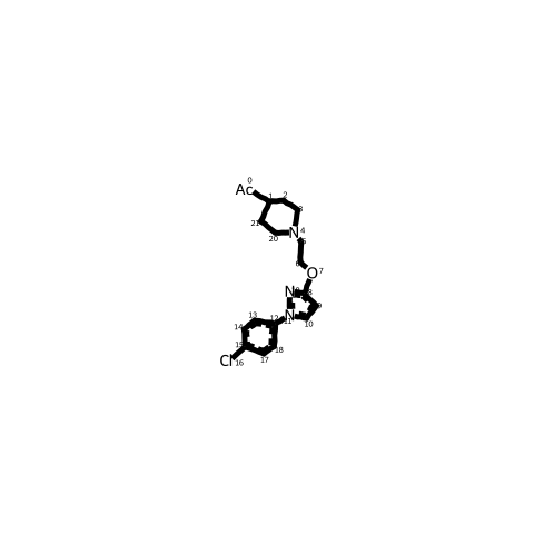 CC(=O)C1CCN(CCOc2ccn(-c3ccc(Cl)cc3)n2)CC1